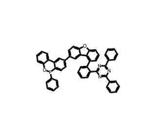 c1ccc(-c2nc(-c3ccccc3)nc(-c3ccccc3-c3cccc4oc5ccc(-c6ccc7c(c6)-c6ccccc6OP7c6ccccc6)cc5c34)n2)cc1